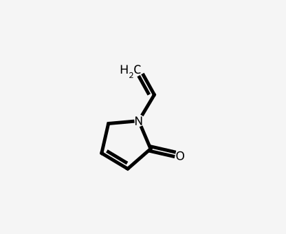 C=CN1CC=CC1=O